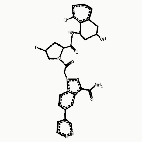 NC(=O)c1nn(CC(=O)N2CC(F)CC2C(=O)NC2CC(O)Cc3cccc(Cl)c32)c2ccc(-c3ccnnc3)cc12